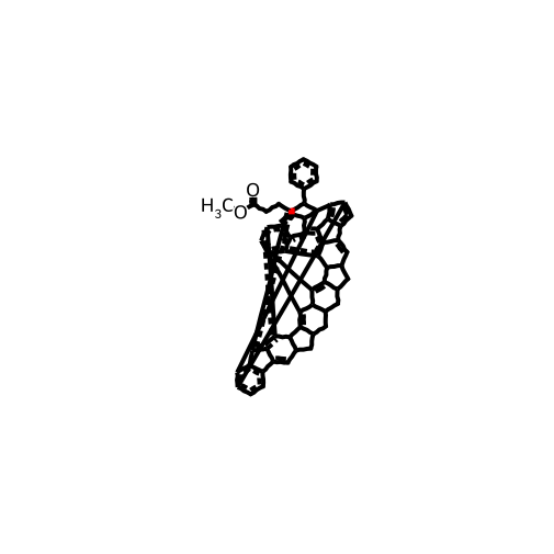 COC(=O)CCCC(c1ccccc1)C12C3=C4C5=C=C3c3ccc6c(c31)-c1c3c7c8c9c%10c%11c%12c(c4c4c%11c8c1C42)C5=CC1CC2CC4CC5CC(C=C63)C7C5=C9C4C%10=C2C%121